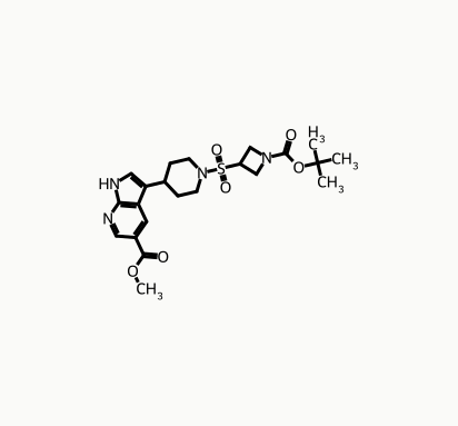 COC(=O)c1cnc2[nH]cc(C3CCN(S(=O)(=O)C4CN(C(=O)OC(C)(C)C)C4)CC3)c2c1